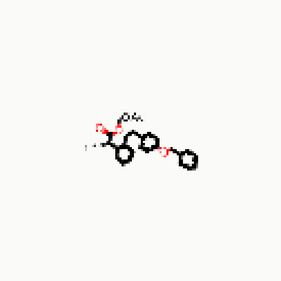 CCCC(C(=O)OCOC(C)=O)c1ccccc1CCc1ccc(OCc2ccccc2)cc1